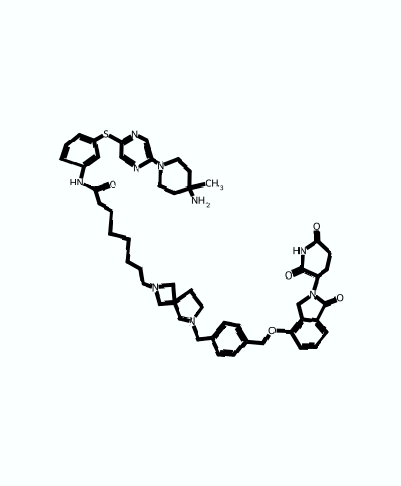 CC1(N)CCN(c2cnc(Sc3cccc(NC(=O)CCCCCCCN4CC5(CCN(Cc6ccc(COc7cccc8c7CN(C7CCC(=O)NC7=O)C8=O)cc6)C5)C4)c3)cn2)CC1